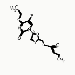 CCCC(=O)OCC1O[C@@H](n2cc(F)c(OCC)nc2=O)CS1